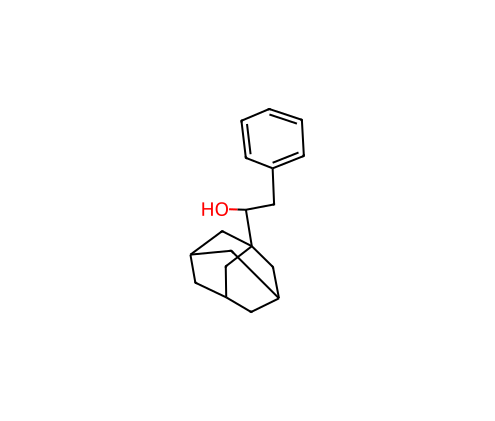 OC(Cc1ccccc1)C12CC3CC(CC(C3)C1)C2